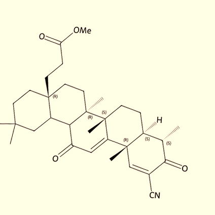 COC(=O)CC[C@]12CCC(C)(C)CC1C1C(=O)C=C3[C@@]4(C)C=C(C#N)C(=O)[C@@H](C)[C@@H]4CC[C@@]3(C)[C@]1(C)CC2